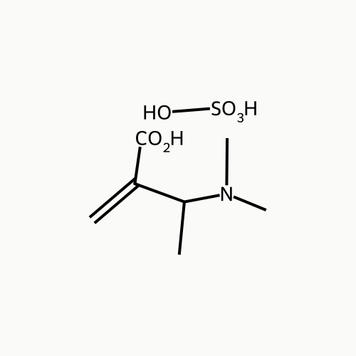 C=C(C(=O)O)C(C)N(C)C.O=S(=O)(O)O